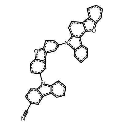 N#Cc1ccc2c(c1)c1ccccc1n2-c1ccc2oc3ccc(-n4c5ccccc5c5c6oc7ccccc7c6ccc54)cc3c2c1